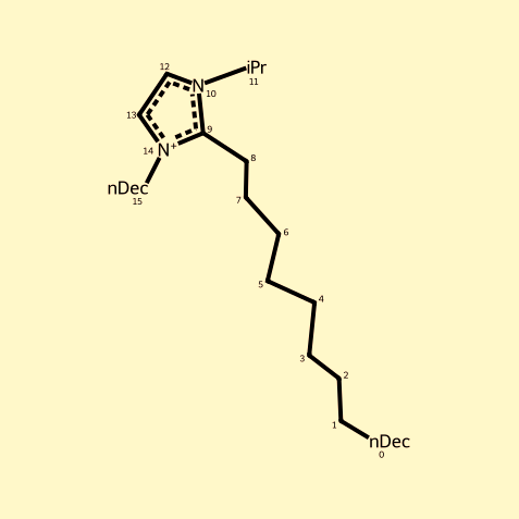 CCCCCCCCCCCCCCCCCCc1n(C(C)C)cc[n+]1CCCCCCCCCC